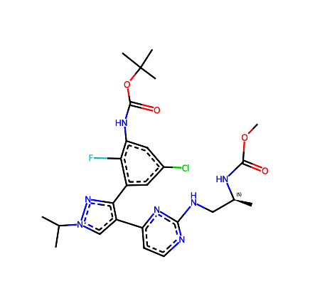 COC(=O)N[C@@H](C)CNc1nccc(-c2cn(C(C)C)nc2-c2cc(Cl)cc(NC(=O)OC(C)(C)C)c2F)n1